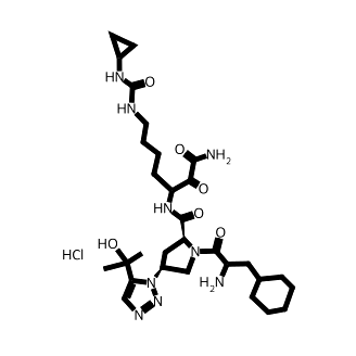 CC(C)(O)c1cnnn1[C@H]1C[C@@H](C(=O)NC(CCCCNC(=O)NC2CC2)C(=O)C(N)=O)N(C(=O)C(N)CC2CCCCC2)C1.Cl